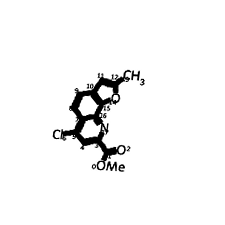 COC(=O)c1cc(Cl)c2ccc3cc(C)oc3c2n1